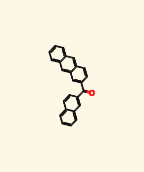 O=C(c1ccc2ccccc2c1)c1ccc2cc3ccccc3cc2c1